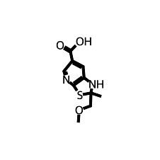 COCC1(C)Nc2cc(C(=O)O)cnc2S1